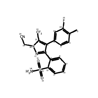 Cc1ccc(-c2c(-c3ccccc3S(N)(=O)=O)nn(CC#N)c2C(F)(F)F)cc1F